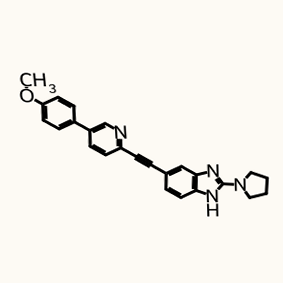 COc1ccc(-c2ccc(C#Cc3ccc4[nH]c(N5CCCC5)nc4c3)nc2)cc1